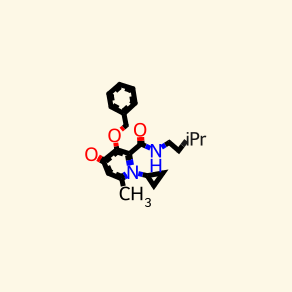 Cc1cc(=O)c(OCc2ccccc2)c(C(=O)NCCC(C)C)n1C1CC1